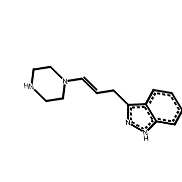 C(=CN1CCNCC1)Cc1n[nH]c2ccccc12